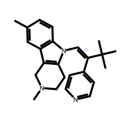 Cc1ccc2c(c1)c1c(n2/C=C(\c2ccncc2)C(C)(C)C)CCN(C)C1